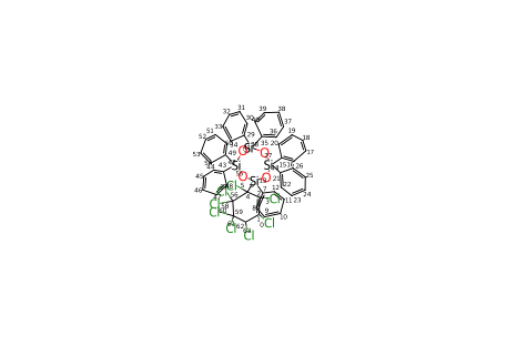 ClC1=C(Cl)C(Cl)([Si]2(c3ccccc3)O[Si](c3ccccc3)(c3ccccc3)O[Si](c3ccccc3)(c3ccccc3)O[Si](c3ccccc3)(c3ccccc3)O2)C(Cl)(Cl)C(Cl)(Cl)C1Cl